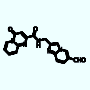 O=Cc1ccc2nc(CNC(=O)c3cc(=O)n4ccccc4n3)cn2c1